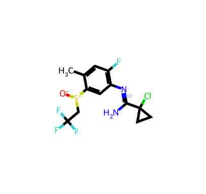 Cc1cc(F)c(/N=C(\N)C2(Cl)CC2)cc1[S+]([O-])CC(F)(F)F